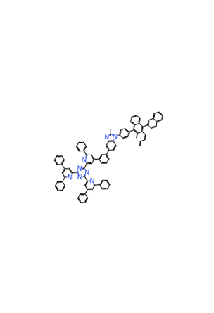 C=C/C=C\c1c(C)c(-c2ccc(-n3c(C)nc4cc(-c5cccc(-c6cc(-c7ccccc7)nc(-c7nc(-c8cc(-c9ccccc9)cc(-c9ccccc9)n8)nc(-c8cc(-c9ccccc9)cc(-c9ccccc9)n8)n7)c6)c5)ccc43)cc2)c2ccccc2c1-c1ccc2ccccc2c1